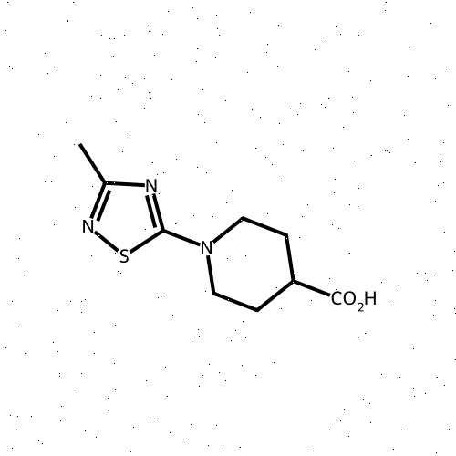 Cc1nsc(N2CCC(C(=O)O)CC2)n1